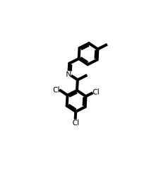 Cc1ccc(/C=N\C(C)c2c(Cl)cc(Cl)cc2Cl)cc1